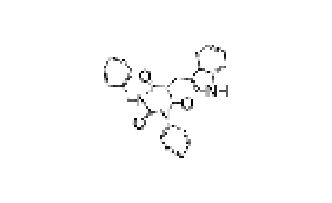 O=C1C(Cc2c[nH]c3ccccc23)C(=O)N(c2ccccc2)C(=O)N1Cc1ccccc1